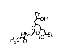 C=CC(=O)NCC1OC(CC(O)CC)CC(CC(O)CC)O1